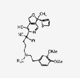 COc1ccc(CCN(C)CCCC(C#N)(c2ncc3c(c2O)COC3(C)c2cccs2)C(C)C)cc1OC